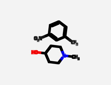 CN1CCC(O)CC1.O=[N+]([O-])c1cccc(C(F)(F)F)c1